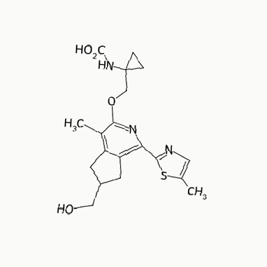 Cc1cnc(-c2nc(OCC3(NC(=O)O)CC3)c(C)c3c2CC(CO)C3)s1